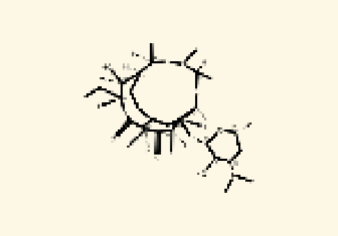 CC[C@H]1OC(=O)[C@H](C)C(=O)[C@H](C)[C@@H](O[C@@H]2O[C@H](C)C[C@H](N(C)C)[C@H]2O)[C@@]2(C)C[C@@H](C)N(C)C[C@H](C)[C@@H](CCC(C)CO2)[C@]1(C)O